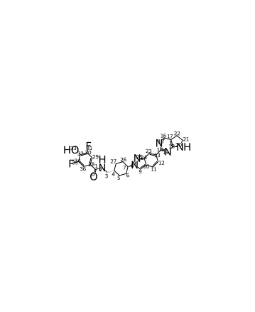 O=C(NC[C@H]1CC[C@H](n2cc3ccc(-c4ncc5c(n4)NCC5)cc3n2)CC1)c1cc(F)c(O)c(F)c1